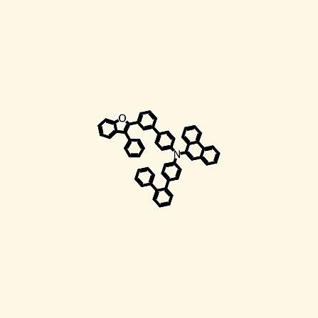 c1ccc(-c2ccccc2-c2ccc(N(c3ccc(-c4cccc(-c5oc6ccccc6c5-c5ccccc5)c4)cc3)c3cc4ccccc4c4ccccc34)cc2)cc1